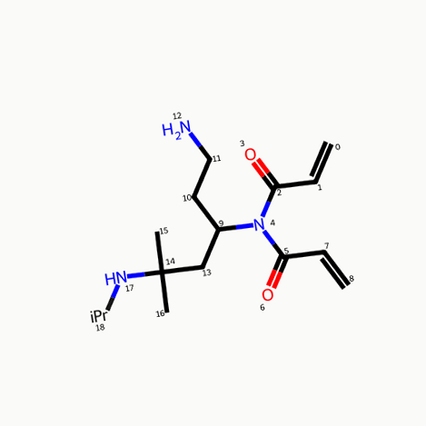 C=CC(=O)N(C(=O)C=C)C(CCN)CC(C)(C)NC(C)C